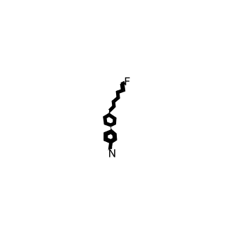 N#Cc1ccc([C@H]2CC[C@H](CCCCCC=CF)CC2)cc1